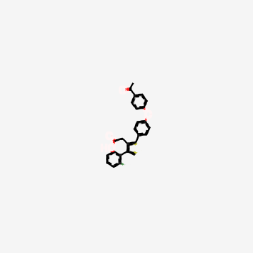 CC(=O)c1ccc(Oc2ccc(-c3scc(-c4ccccc4Cl)c3CC(=O)O)cc2)cc1